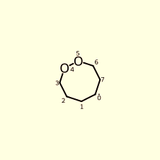 [CH]1CCCOOCC1